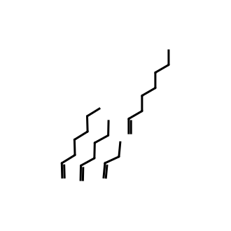 C=CCC.C=CCCCC.C=CCCCCC.C=CCCCCCC